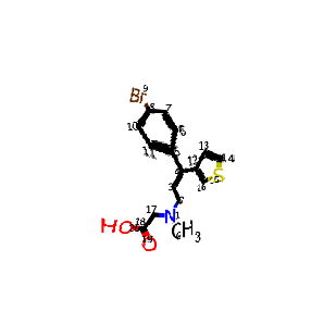 CN(C/C=C(/c1ccc(Br)cc1)c1ccsc1)CC(=O)O